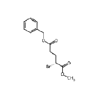 COC(=O)[C@H](Br)CCC(=O)OCc1ccccc1